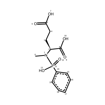 CN([C@@H](CCC(=O)O)C(=O)O)P(=O)(O)c1ccccc1